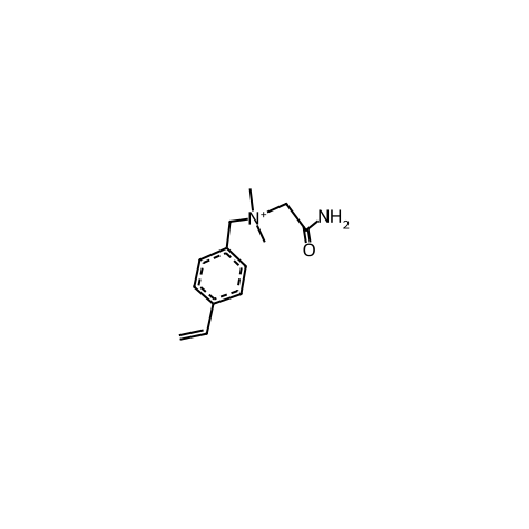 C=Cc1ccc(C[N+](C)(C)CC(N)=O)cc1